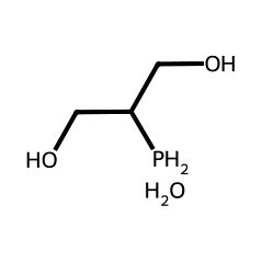 O.OCC(P)CO